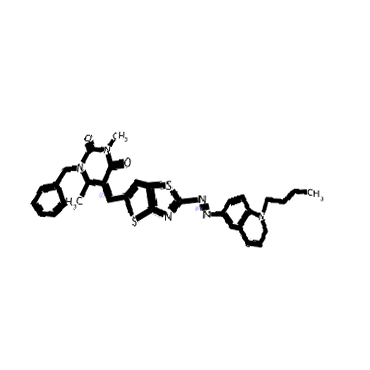 CCCCN1CCCc2cc(/N=N/c3nc4sc(/C=C5\C(=O)N(C)C(=O)N(Cc6ccccc6)C5C)cc4s3)ccc21